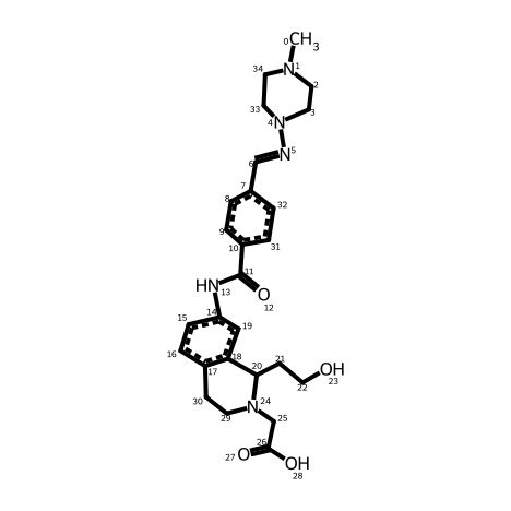 CN1CCN(N=Cc2ccc(C(=O)Nc3ccc4c(c3)C(CCO)N(CC(=O)O)CC4)cc2)CC1